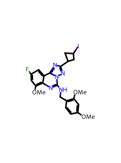 COc1ccc(CNc2nc3c(OC)cc(F)cc3c3nc(C4CC(I)C4)nn23)c(OC)c1